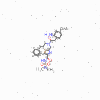 COc1ccc(CC(=O)N(CCCc2ccccc2)Cc2nc(C(=O)NS(=O)(=O)N(C)C)c(C)s2)c(N)c1